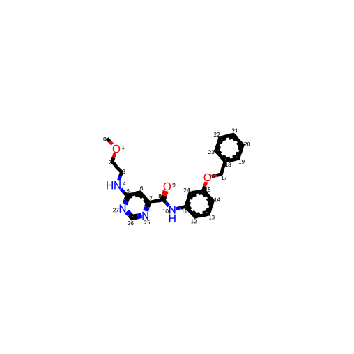 COCCNc1cc(C(=O)Nc2cccc(OCc3ccccc3)c2)ncn1